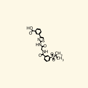 CN(C)S(=O)(=O)c1cccc(C(=O)NCC(=O)Nc2nc(-c3cccc(C(=O)O)c3)cs2)c1